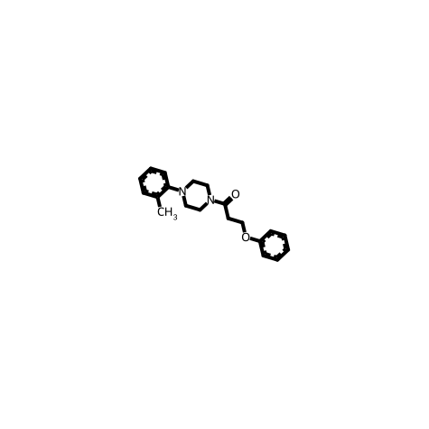 Cc1ccccc1N1CCN(C(=O)CCOc2ccccc2)CC1